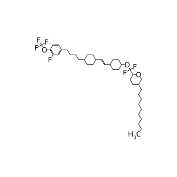 CCCCCCCCCCC1CCC(C(F)(F)OC2CCC(/C=C/C3CCC(CCCCc4ccc(OC(F)(F)F)c(F)c4)CC3)CC2)OC1